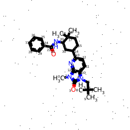 Cn1c(=O)n(CC(C)(C)C)c2ccc(C3CCC(C)(C)C(NC(=O)c4ccccc4)C3)nc21